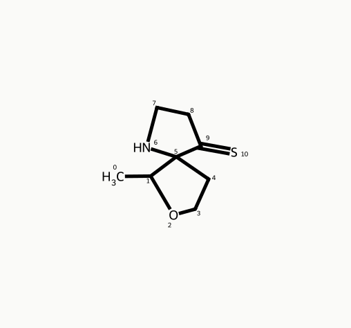 CC1OCCC12NCCC2=S